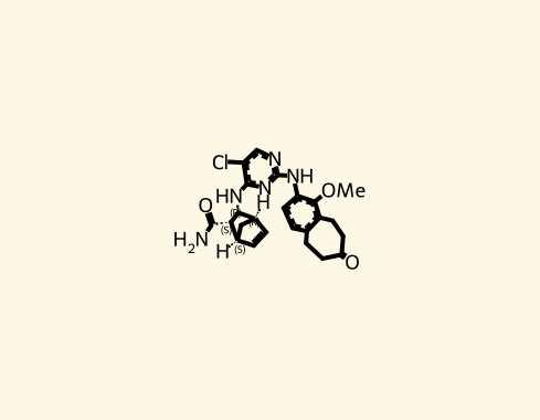 COc1c(Nc2ncc(Cl)c(N[C@H]3[C@@H](C(N)=O)[C@@H]4C=C[C@H]3C4)n2)ccc2c1CCC(=O)CC2